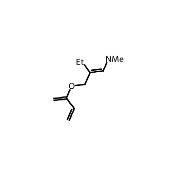 C=CC(=C)OC/C(=C/NC)CC